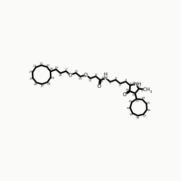 CC1NC(CCCCNC(=O)CCOCCOCCCC2CCCCCCCCC2)C(=O)C1C1CCCCCCCC1